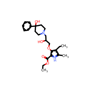 CCOC(=O)c1[nH]c(C)c(CC)c1OCC(O)CN1CCC(O)(c2ccccc2)CC1